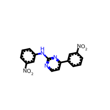 O=[N+]([O-])c1cccc(Nc2nccc(-c3cccc([N+](=O)[O-])c3)n2)c1